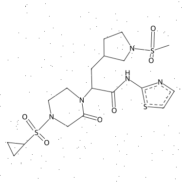 CS(=O)(=O)N1CCC(CC(C(=O)Nc2nccs2)N2CCN(S(=O)(=O)C3CC3)CC2=O)C1